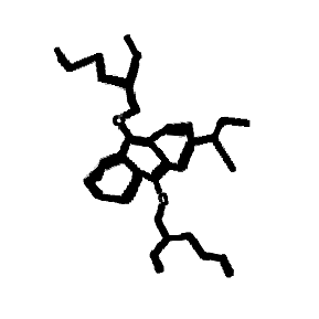 CCCCC(CC)COc1c2ccccc2c(OCC(CC)CCCC)c2cc(C(C)CC)ccc12